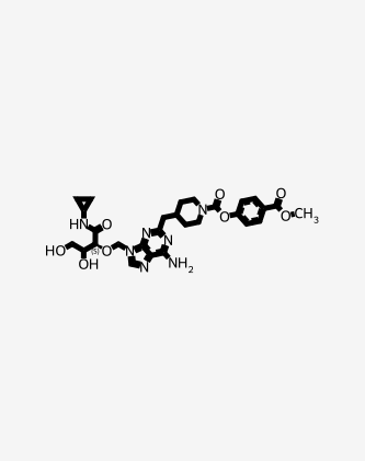 COC(=O)c1ccc(OC(=O)N2CCC(Cc3nc(N)c4ncn(CO[C@H](C(=O)NC5CC5)C(O)CO)c4n3)CC2)cc1